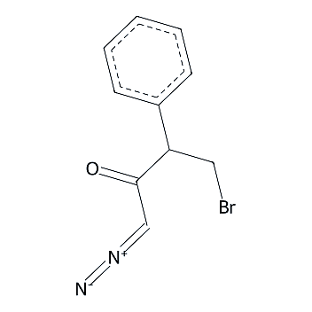 [N-]=[N+]=CC(=O)C(CBr)c1ccccc1